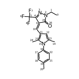 CCN1N=C(C(F)(F)F)C(=Cc2cc(C)n(-c3ccc(C)cc3)c2C)C1=O